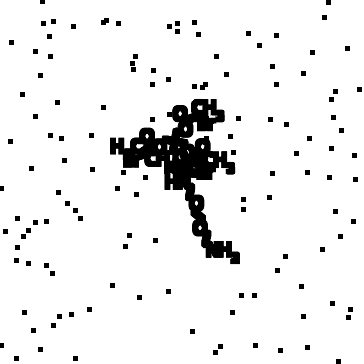 CC(Br)C(=O)OCC(COCC(=O)NCCOCCOCCN)(COC(=O)C(C)(C)Br)COC(=O)C(C)(C)Br